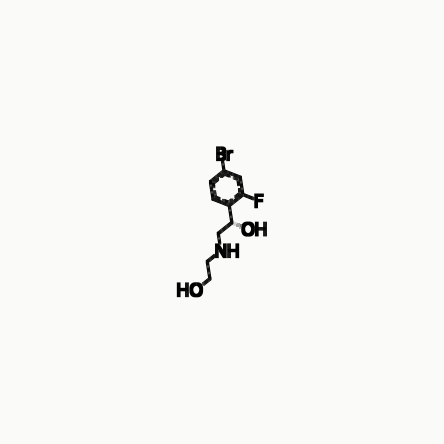 OCCNC[C@@H](O)c1ccc(Br)cc1F